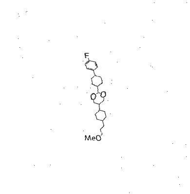 COCCCC1CCC(C2COC(C3CCC(c4ccc(F)cc4)CC3)OC2)CC1